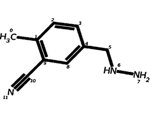 Cc1ccc(CNN)cc1C#N